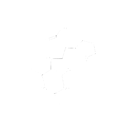 O=C(O)C(c1nc2[nH]c(=O)[nH]c(=O)c2[nH]1)C1CSCN1